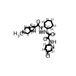 CN1Cc2nc(C(=O)N[C@@H]3CCCCC[C@H]3NC(=O)C(=O)Nc3ccc(Cl)cn3)sc2C1